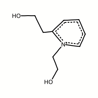 OCCc1cccc[n+]1CCO